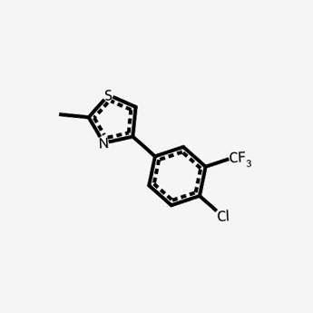 Cc1nc(-c2ccc(Cl)c(C(F)(F)F)c2)cs1